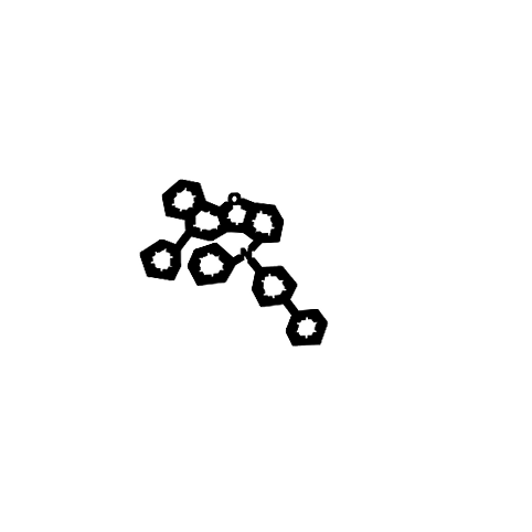 c1ccc(-c2ccc(N(c3ccccc3)c3cccc4oc5c6ccccc6c(-c6ccccc6)cc5c34)cc2)cc1